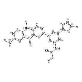 C=CC(=O)Nc1cc(-c2cnc(NC)c(C(=C)c3ccnc(NC)c3)c2)cc(-c2cnn(C)c2)n1